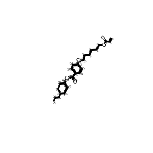 C=CC(=O)OCCCCCCOc1ccc(C(=O)OC2CCC(CCC)CC2)cc1